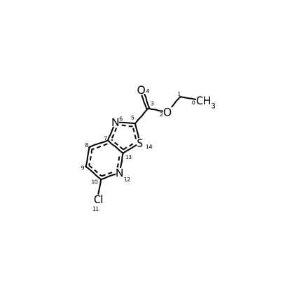 CCOC(=O)c1nc2ccc(Cl)nc2s1